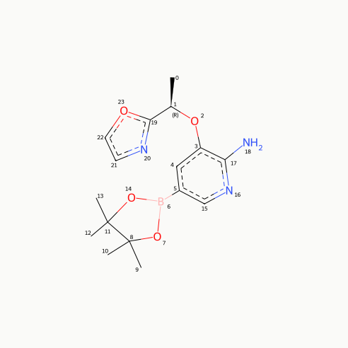 C[C@@H](Oc1cc(B2OC(C)(C)C(C)(C)O2)cnc1N)c1ncco1